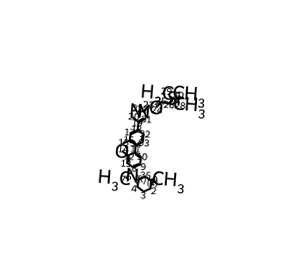 C[C@@H]1CCC[C@@H](N(C)c2ccc3c(c2)OCc2cc(-c4cnn(COCC[Si](C)(C)C)c4)ccc2-3)C1